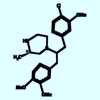 COc1cc(CC(Cc2ccc(OC)c(OC)c2)N2CCN[C@@H](C)C2)ccc1Cl